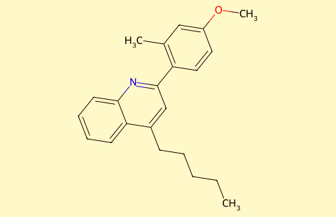 CCCCCc1cc(-c2ccc(OC)cc2C)nc2ccccc12